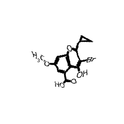 COc1cc2c(c(C(=O)O)c1)C(O)=C(Br)C(C1CC1)O2